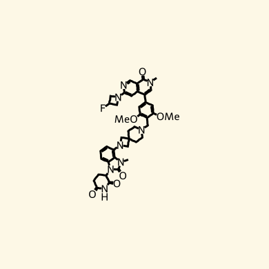 COc1cc(-c2cn(C)c(=O)c3cnc(N4CC(F)C4)cc23)cc(OC)c1CN1CCC2(CC1)CN(c1cccc3c1n(C)c(=O)n3C1CCC(=O)NC1=O)C2